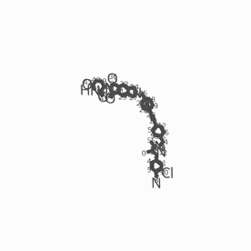 Cc1c(-c2ccc(C#N)c(Cl)c2)nn(Cc2ccc(C#CC34CCC(CN5Cc6cc7c(cc6C5)C(=O)N(C5CCC(=O)NC5=O)C7=O)(CC3)CC4)cc2)c1C